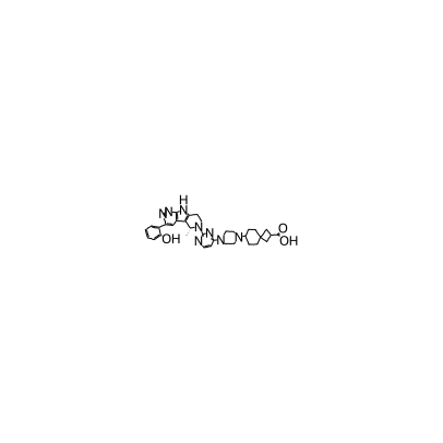 C[C@@H]1c2c([nH]c3nnc(-c4ccccc4O)cc23)CCN1c1nccc(N2CCN(C3CCC4(CC3)CC(C(=O)O)C4)CC2)n1